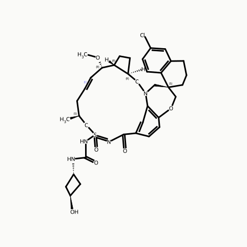 CO[C@H]1/C=C/C[C@H](C)CS(=O)(NC(=O)N[C@H]2C[C@H](O)C2)=NC(=O)c2ccc3c(c2)N(C[C@@H]2CC[C@H]21)C[C@@]1(CCCc2cc(Cl)ccc21)CO3